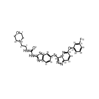 O=C(NCCN1CCOCC1)Nc1nc2ccc(Sc3nnc4ccc(Oc5cccc(F)c5)nn34)cc2s1